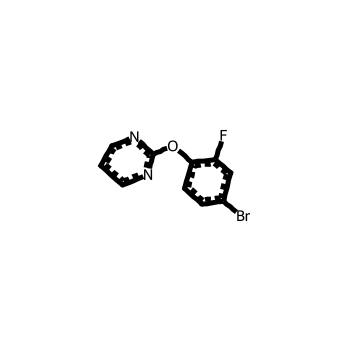 Fc1cc(Br)ccc1Oc1ncccn1